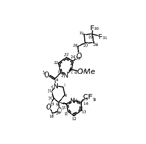 COc1nc(C(=O)N2CC[C@]3(c4cccc(C(F)(F)F)n4)OCOC3C2)ccc1OCC1CC(F)(F)C1